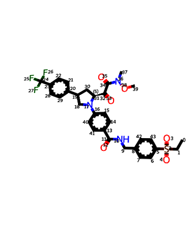 CCS(=O)(=O)c1ccc(CNC(=O)c2ccc(N3CC(c4ccc(C(F)(F)F)cc4)C[C@H]3C(=O)C(=O)N(C)OC)cc2)cc1